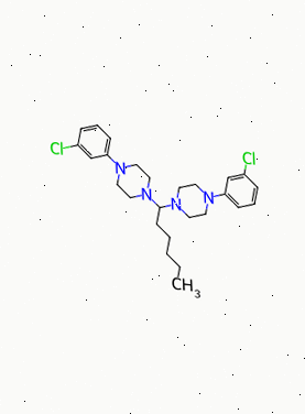 CCCCCC(N1CCN(c2cccc(Cl)c2)CC1)N1CCN(c2cccc(Cl)c2)CC1